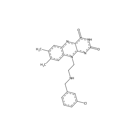 Cc1cc2nc3c(=O)[nH]c(=O)nc-3n(CCNCc3cccc(Cl)c3)c2cc1C